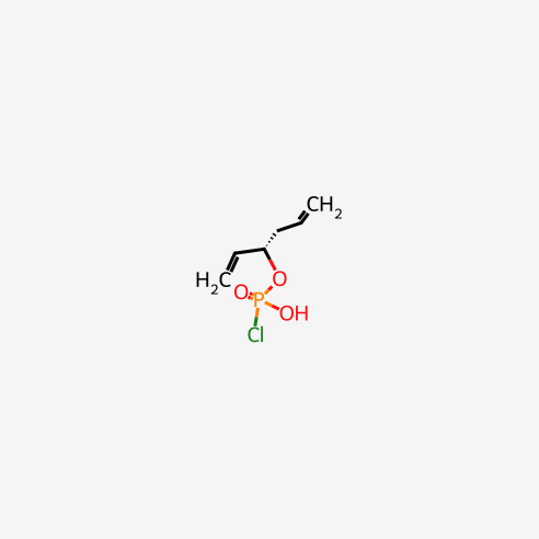 C=CC[C@@H](C=C)OP(=O)(O)Cl